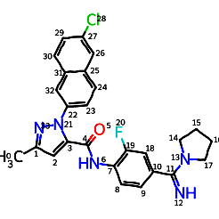 Cc1cc(C(=O)Nc2ccc(C(=N)N3CCCC3)cc2F)n(-c2ccc3cc(Cl)ccc3c2)n1